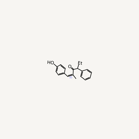 CCC(C(=O)/C(C)=C\c1ccc(O)cc1)c1ccccc1